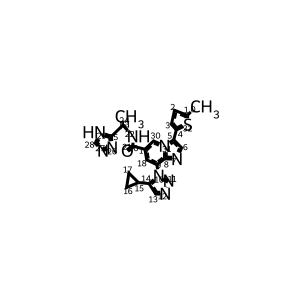 Cc1ccc(-c2cnc3c(-n4nncc4C4CC4)cc(C(=O)N[C@@H](C)c4nnc[nH]4)cn23)s1